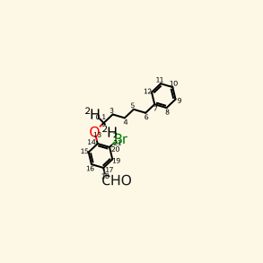 [2H]C([2H])(CCCCc1ccccc1)Oc1ccc(C=O)cc1Br